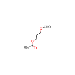 CC(C)(C)C(=O)OCCCOC=O